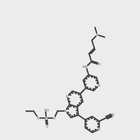 CCOP(=O)(O)OCn1cc(-c2ccnc(C#N)c2)c2cc(-c3cncc(NC(=O)C=CCN(C)C)c3)cnc21